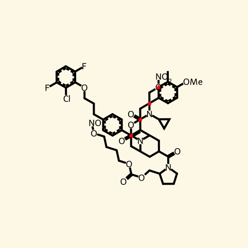 COc1ccc(CN(C(=O)C2=C(c3ccc(CCCOc4c(F)ccc(F)c4Cl)cc3)CC3CC(C(=O)N4CCCC4COC(=O)OCCCCO[N+](=O)[O-])CC2N3C(=O)OCCCCO[N+](=O)[O-])C2CC2)cc1C